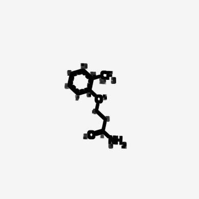 NC(=O)CCOc1ccccc1C(F)(F)F